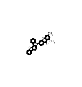 Cc1cc(C)c2c(=O)c3ccc(-n4c5ccccc5c5c6oc7ccccc7c6ccc54)cc3oc2c1